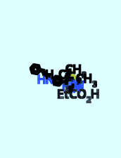 CCC(C(=O)O)[C@@H]1N=C(c2ccc(NCCCc3ccccc3)cc2)c2c(sc(C)c2C)-n2c(C)nnc21